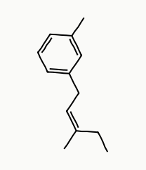 CCC(C)=CCc1cccc(C)c1